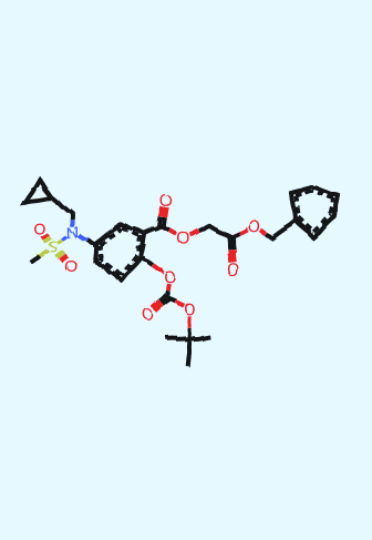 CC(C)(C)OC(=O)Oc1ccc(N(CC2CC2)S(C)(=O)=O)cc1C(=O)OCC(=O)OCc1ccccc1